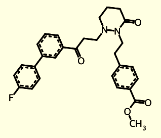 COC(=O)c1ccc(CCN2C(=O)CCCN2CCC(=O)c2cccc(-c3ccc(F)cc3)c2)cc1